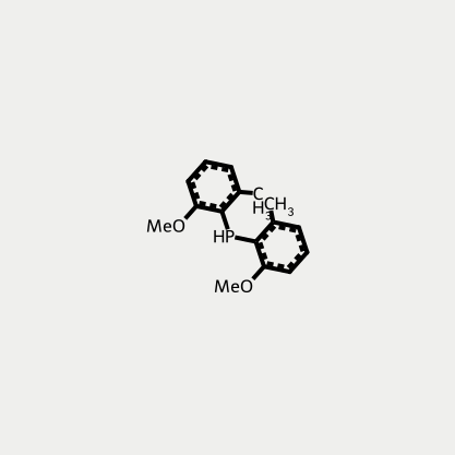 COc1cccc(C)c1Pc1c(C)cccc1OC